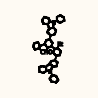 CCc1ccc(-c2ccc3c(c2)c2ccccc2n3-c2ccccc2)cc1-c1cc(-c2ccc3c(c2)c2ccccc2n3-c2ccccc2)cc(-c2ccccc2C=O)c1C